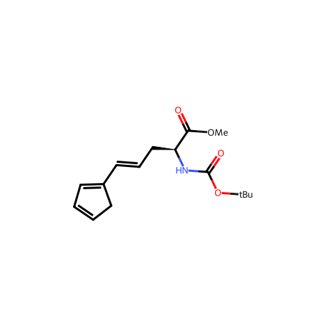 COC(=O)[C@H](CC=CC1=CC=CC1)NC(=O)OC(C)(C)C